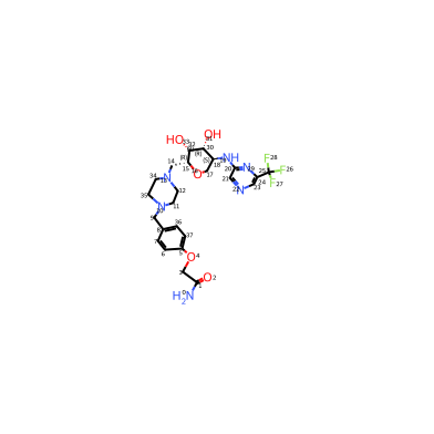 NC(=O)COc1ccc(CN2CCN(C[C@H]3OC[C@H](Nc4cncc(C(F)(F)F)n4)[C@@H](O)[C@H]3O)CC2)cc1